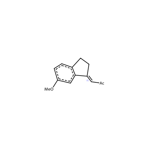 COc1ccc2c(c1)/C(=C/C(C)=O)CC2